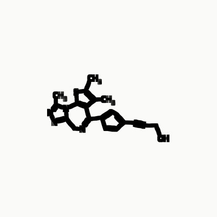 Cc1sc2c(c1C)C(c1ccc(C#CCO)cc1)=NCc1nnc(C)n1-2